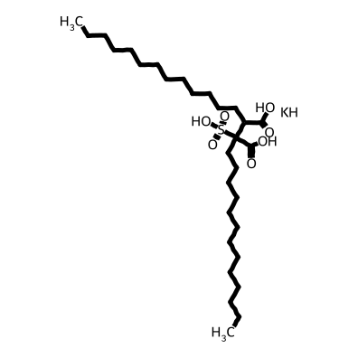 CCCCCCCCCCCCCC(C(=O)O)C(CCCCCCCCCCCCC)(C(=O)O)S(=O)(=O)O.[KH]